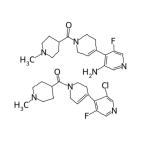 CN1CCC(C(=O)N2CC=C(c3c(F)cncc3Cl)CC2)CC1.CN1CCC(C(=O)N2CC=C(c3c(N)cncc3F)CC2)CC1